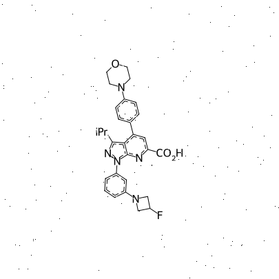 CC(C)c1nn(-c2cccc(N3CC(F)C3)c2)c2nc(C(=O)O)cc(-c3ccc(N4CCOCC4)cc3)c12